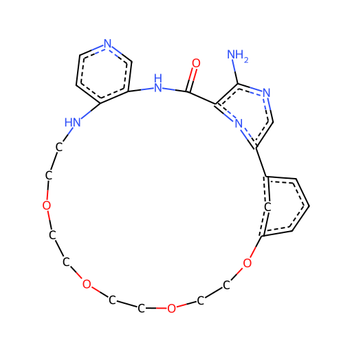 Nc1ncc2nc1C(=O)Nc1cnccc1NCCOCCOCCOCCOc1cccc-2c1